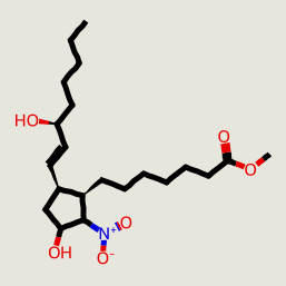 CCCCC[C@H](O)/C=C/[C@@H]1CC(O)C([N+](=O)[O-])[C@@H]1CCCCCCC(=O)OC